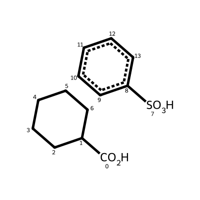 O=C(O)C1CCCCC1.O=S(=O)(O)c1ccccc1